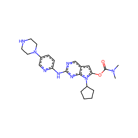 CN(C)C(=O)Oc1cc2cnc(Nc3ccc(N4CCNCC4)cn3)nc2n1C1CCCC1